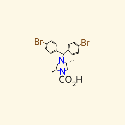 C[C@@H]1CN(C(=O)O)[C@@H](C)CN1C(c1ccc(Br)cc1)c1ccc(Br)cc1